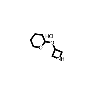 C1CCC(OC2CNC2)OC1.Cl